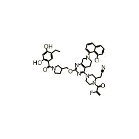 C=C(F)C(=O)N1CCN(c2nc(OCC3CCN(C(=O)c4cc(CC)c(O)cc4O)C3)nc3c2CCN(c2cccc4cccc(Cl)c24)C3)CC1CC#N